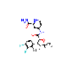 CCc1c([C@@H]2[C@@H](C(=O)Nc3ccnc(C(N)=O)c3)O[C@@](C)(C(F)(F)F)[C@H]2C)ccc(F)c1F